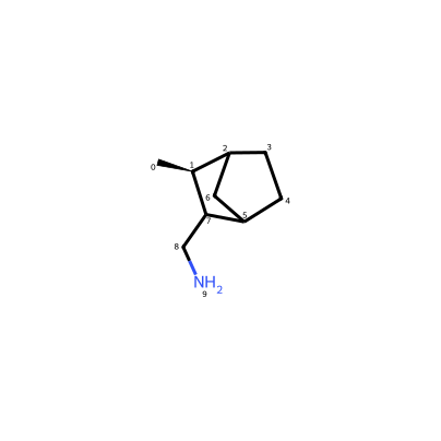 C[C@H]1C2CCC(C2)C1CN